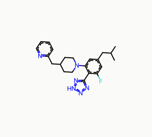 CC(C)Cc1cc(F)c(-c2nn[nH]n2)c(N2CCC(Cc3ccccn3)CC2)c1